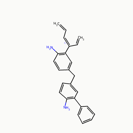 C=C/C=C(\C=C)c1cc(Cc2ccc(N)c(-c3ccccc3)c2)ccc1N